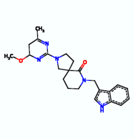 COC1CC(C)=NC(N2CCC3(CCCN(Cc4c[nH]c5ccccc45)C3=O)C2)=N1